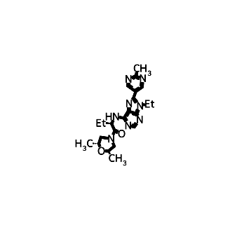 CC[C@@H](Nc1ncnc2c1nc(-c1cnc(C)nc1)n2CC)C(=O)N1C[C@@H](C)O[C@H](C)C1